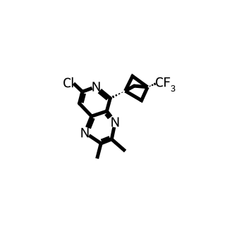 Cc1nc2cc(Cl)nc([C@]34C[C@](C(F)(F)F)(C3)C4)c2nc1C